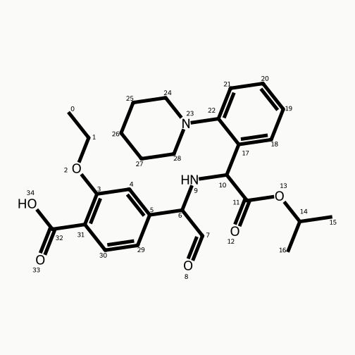 CCOc1cc(C(C=O)NC(C(=O)OC(C)C)c2ccccc2N2CCCCC2)ccc1C(=O)O